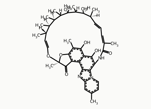 C/C1=C\C=C\[C@H](C)[C@H](O)[C@@H](C)[C@@H](O)[C@@H](C)[C@H](C)[C@H](C)[C@@H](C)/C=C/O[C@@]2(C)Oc3c(C)c(O)c4c(O)c(c5c(nc6cc(C)ccn65)c4c3C2=O)NC1=O